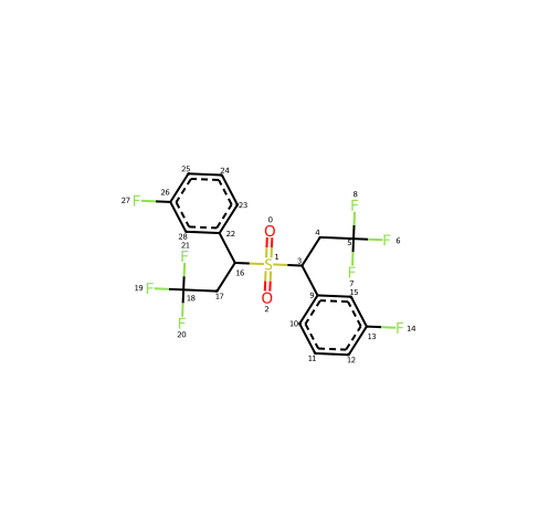 O=S(=O)(C(CC(F)(F)F)c1cccc(F)c1)C(CC(F)(F)F)c1cccc(F)c1